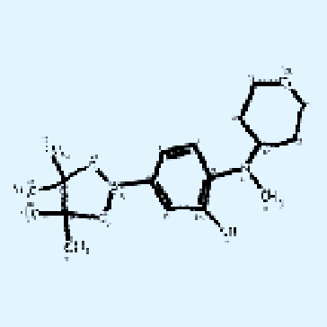 CN(c1ccc(B2OC(C)(C)C(C)(C)O2)cc1C#N)C1CCOCC1